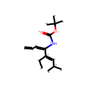 C=C/C=C(NC(=O)OC(C)(C)C)\C(=C\C(C)C)CC